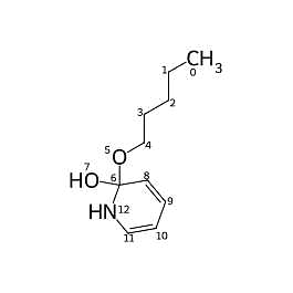 CCCCCOC1(O)C=CC=CN1